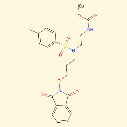 Cc1ccc(S(=O)(=O)N(CCCON2C(=O)c3ccccc3C2=O)CCNC(=O)OC(C)(C)C)cc1